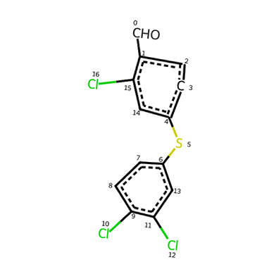 O=Cc1ccc(Sc2ccc(Cl)c(Cl)c2)cc1Cl